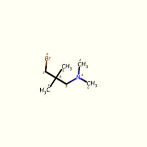 CN(C)CC(C)(C)CBr